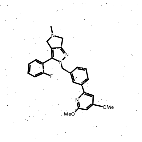 COc1cc(OC)nc(-c2cccc(Cn3nc4c(c3-c3ccccc3F)CN(C)C4)c2)c1